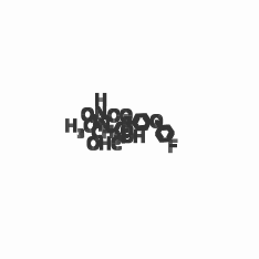 CC1(C)C(=O)NC(=O)N1CC(CS(=O)(=O)c1ccc(Oc2ccc(F)cc2)cc1)N(O)C=O